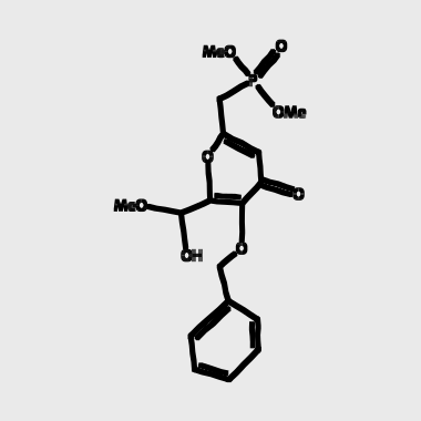 COC(O)c1oc(CP(=O)(OC)OC)cc(=O)c1OCc1ccccc1